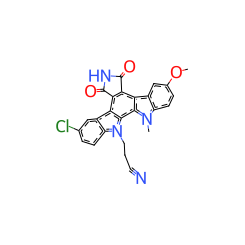 COc1ccc2c(c1)c1c3c(c4c5cc(Cl)ccc5n(CCC#N)c4c1n2C)C(=O)NC3=O